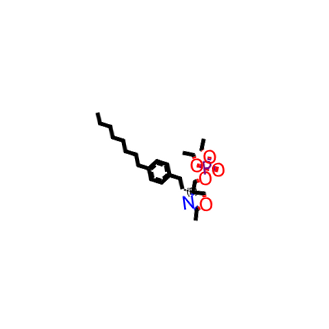 CCCCCCCCc1ccc(CC[C@]2(COP(=O)(OCC)OCC)COC(C)=N2)cc1